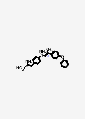 N/C(=C\N(N)c1ccc(CC(N)C(=O)O)cc1)c1ccc(Oc2ccccc2)cc1